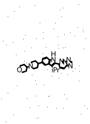 CC(C)c1c(-c2ccc3ncnn3n2)[nH]c2ccc(C3CCN(C4CCOCC4)CC3)cc12